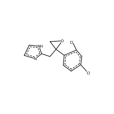 Clc1ccc(C2(Cc3ncc[nH]3)CO2)c(Cl)c1